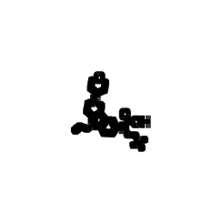 C=CCN1c2ccc(N(CC[Si](C)(C)C)C(=O)O)cc2C2CN(C3CCOCC3)CCC21